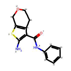 Nc1sc2c(c1C(=O)Nc1ccccc1)CCOC2